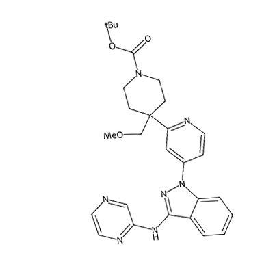 COCC1(c2cc(-n3nc(Nc4cnccn4)c4ccccc43)ccn2)CCN(C(=O)OC(C)(C)C)CC1